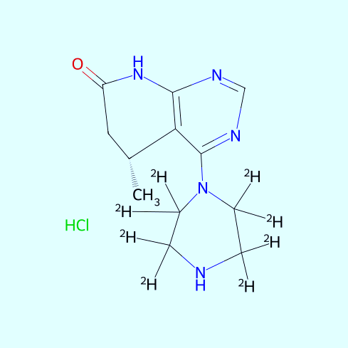 Cl.[2H]C1([2H])NC([2H])([2H])C([2H])([2H])N(c2ncnc3c2[C@H](C)CC(=O)N3)C1([2H])[2H]